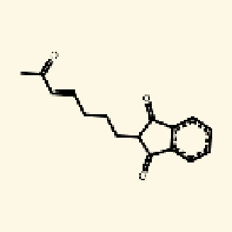 CC(=O)/C=C/CCCC1C(=O)c2ccccc2C1=O